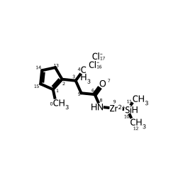 CC1=C(C(C)CC(=O)[NH][Zr+2][SiH](C)C)CC=C1.[Cl-].[Cl-]